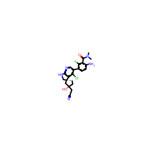 CN(C)C(=O)c1c(N)ccc(-c2cnc3c(c2Cl)[C@]2(CC[C@](O)(CC#N)C2)CN3)c1F